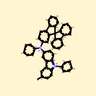 Cc1ccc2c(c1)c1cc(N(c3ccccc3)c3ccc4c(c3)C3(c5ccccc5-c5ccccc53)c3ccccc3-4)ccc1n2-c1ccccc1